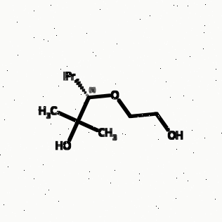 CC(C)[C@H](OCCO)C(C)(C)O